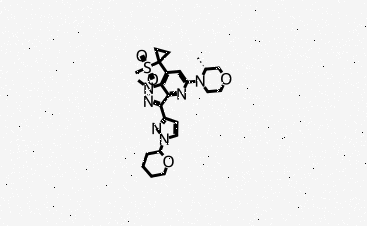 C[C@@H]1COCCN1c1cc(C2(S(C)(=O)=O)CC2)c2c(n1)c(-c1ccn(C3CCCCO3)n1)nn2C